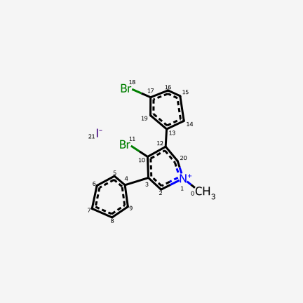 C[n+]1cc(-c2ccccc2)c(Br)c(-c2cccc(Br)c2)c1.[I-]